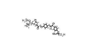 C[SiH2]OC(O[SiH2]C)C(C)(C)C1CN(C(=O)COc2ccc(CNC(=O)c3ccc(CN(C(=O)O)C(C)(C)C)cc3)cc2)CC1=O